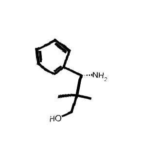 CC(C)(CO)[C@@H](N)c1ccccc1